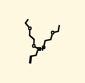 C=CC[SiH](OCCOCC)OCCOCC